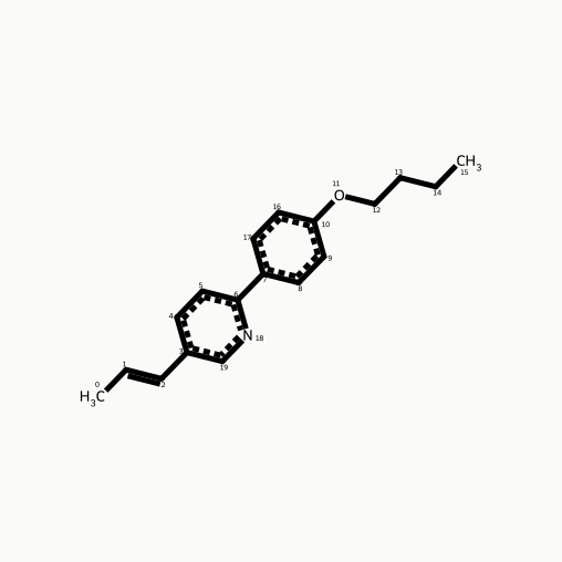 CC=Cc1ccc(-c2ccc(OCCCC)cc2)nc1